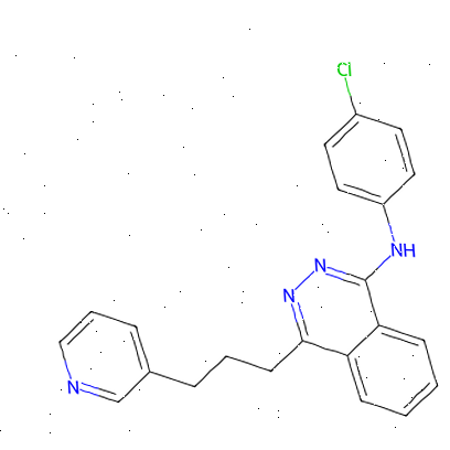 Clc1ccc(Nc2nnc(CCCc3cccnc3)c3ccccc23)cc1